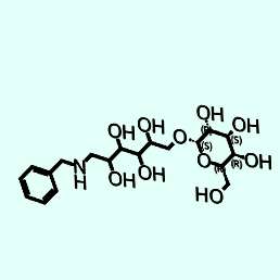 OC[C@H]1O[C@H](OCC(O)C(O)C(O)C(O)CNCc2ccccc2)[C@H](O)[C@@H](O)[C@H]1O